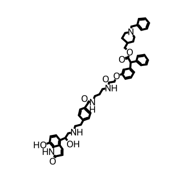 O=C(COc1cccc(C(C(=O)OCC2CCN(Cc3ccccc3)CC2)c2ccccc2)c1)NCCCNC(=O)c1ccc(CCNCC(O)c2ccc(O)c3[nH]c(=O)ccc23)cc1